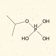 CC(C)O[PH](O)(O)O